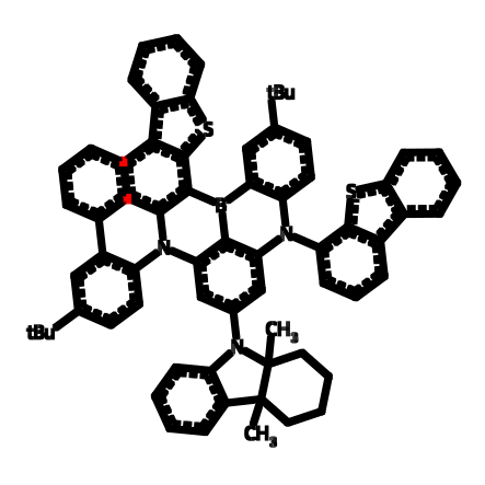 CC(C)(C)c1ccc2c(c1)B1c3c(cc(N4c5ccccc5C5(C)CCCCC45C)cc3N2c2cccc3c2sc2ccccc23)N(c2ccc(C(C)(C)C)cc2-c2ccccc2)c2ccc3c(sc4ccccc43)c21